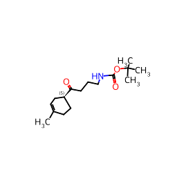 CC1=CC[C@@H](C(=O)CCCNC(=O)OC(C)(C)C)CC1